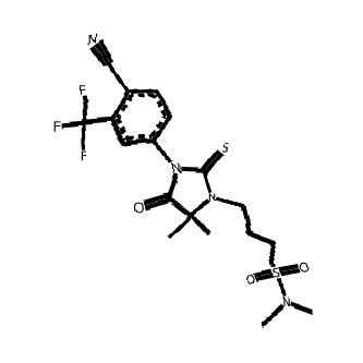 CN(C)S(=O)(=O)CCCN1C(=S)N(c2ccc(C#N)c(C(F)(F)F)c2)C(=O)C1(C)C